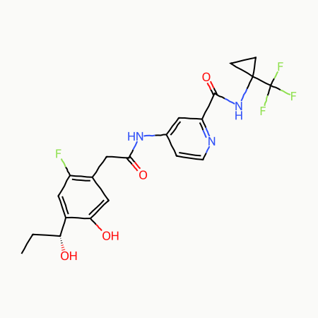 CC[C@@H](O)c1cc(F)c(CC(=O)Nc2ccnc(C(=O)NC3(C(F)(F)F)CC3)c2)cc1O